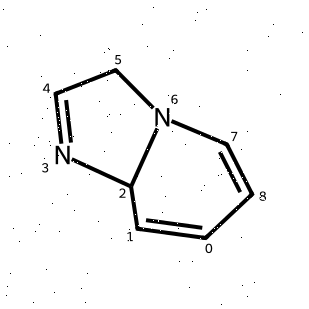 C1=CC2N=CCN2C=C1